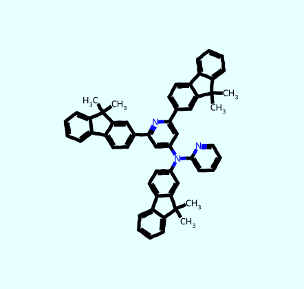 CC1(C)c2ccccc2-c2ccc(-c3cc(N(c4ccc5c(c4)C(C)(C)c4ccccc4-5)c4ccccn4)cc(-c4ccc5c(c4)C(C)(C)c4ccccc4-5)n3)cc21